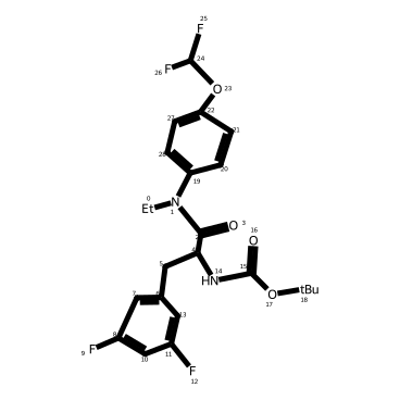 CCN(C(=O)C(Cc1cc(F)cc(F)c1)NC(=O)OC(C)(C)C)c1ccc(OC(F)F)cc1